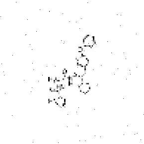 C[C@@H](NC(=O)[C@@H]1CSCN1)C(=O)NSC(Cc1ccc(Oc2ccccc2)nc1)C1CCCCC1